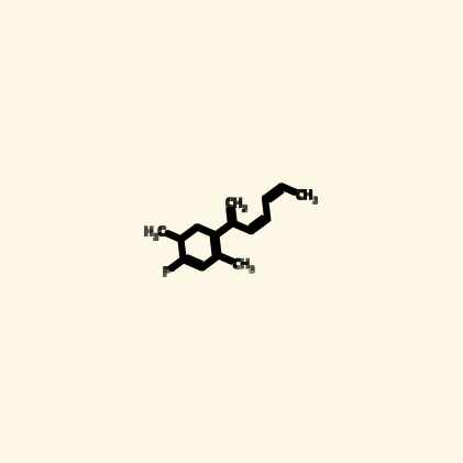 C=C(/C=C\C=C/C)C1=C(C)C=C(F)C(C)C1